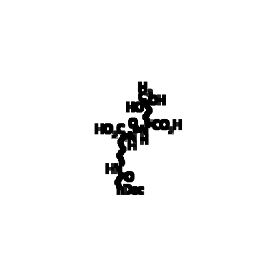 CCCCCCCCCCCC(=O)NCCCC[C@H](NC(=O)N[C@@H](CCC(C)(O)O)C(=O)O)C(=O)O